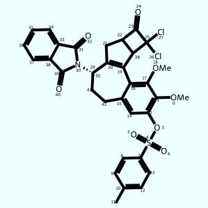 COc1c(OS(=O)(=O)c2ccc(C)cc2)cc2c(c1OC)C1=C(CC3C(=O)C(Cl)(Cl)C13)[C@@H](N1C(=O)c3ccccc3C1=O)CC2